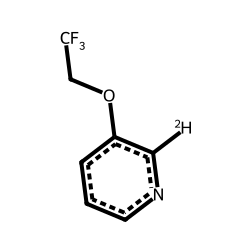 [2H]c1ncccc1OCC(F)(F)F